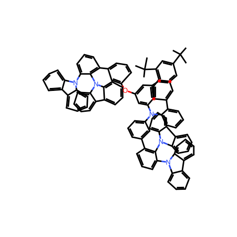 CC(C)(C)c1ccc(-c2cc(Oc3cccc(-c4cccc(-n5c6ccccc6c6ccccc65)c4-n4c5ccccc5c5ccccc54)c3)cc(N(c3cccc(-c4cccc(-n5c6ccccc6c6ccccc65)c4-n4c5ccccc5c5ccccc54)c3)c3ccccc3-c3ccccc3)c2)c(C(C)(C)C)c1